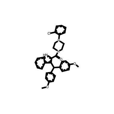 COc1ccc(C(c2ccc(OC)cc2)c2c(C(=O)N3CCN(c4ccccc4Cl)CC3)[nH]c3ccccc23)cc1